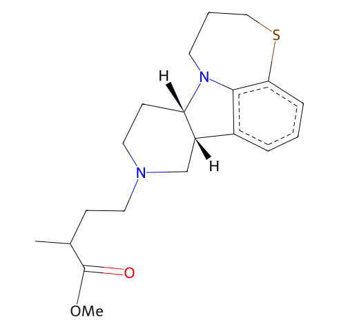 COC(=O)C(C)CCN1CC[C@H]2[C@@H](C1)c1cccc3c1N2CCCS3